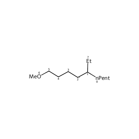 CCCCCC([CH]CCCOC)CC